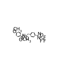 COc1ccc(S(C)(=O)=NC(=O)Cc2ccc(-c3noc(C(F)(F)F)n3)cc2)cc1